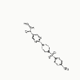 CC(C)(C)c1ccc(S(=O)(=O)N2CCN(c3ncc(C(=O)NO)cn3)CC2)cc1